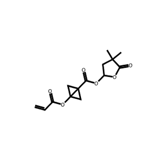 C=CC(=O)OC12CC1(C(=O)OC1CC(C)(C)C(=O)O1)C2